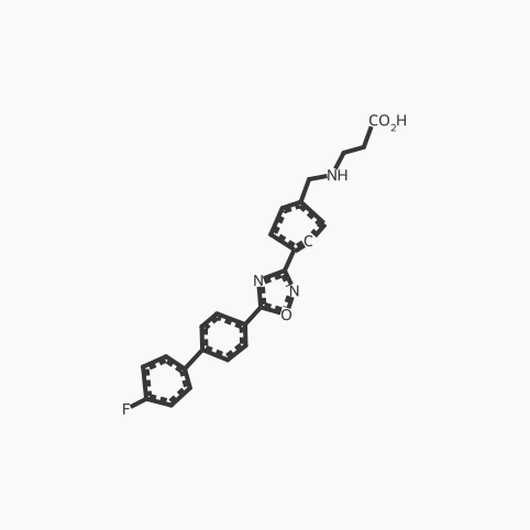 O=C(O)CCNCc1ccc(-c2noc(-c3ccc(-c4ccc(F)cc4)cc3)n2)cc1